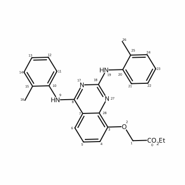 CCOC(=O)COc1cccc2c(Nc3ccccc3C)nc(Nc3ccccc3C)nc12